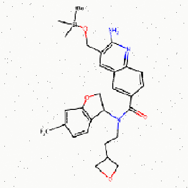 CC(C)(C)[Si](C)(C)OCc1cc2cc(C(=O)N(CCC3COC3)C3COc4cc(C(F)(F)F)ccc43)ccc2nc1N